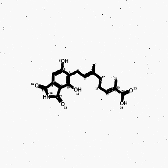 C/C(=C\Cc1c(O)cc2c(c1O)C(=O)NC2=O)CC/C=C(\C)C(=O)O